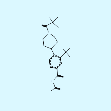 CC(C)(C)C(=O)N1CCC(c2ccc(C(=O)NC(=N)N)cc2C(F)(F)F)CC1